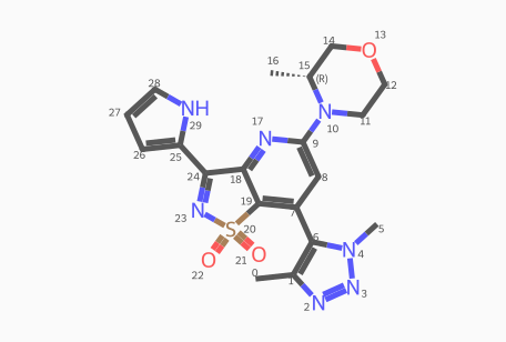 Cc1nnn(C)c1-c1cc(N2CCOC[C@H]2C)nc2c1S(=O)(=O)N=C2c1ccc[nH]1